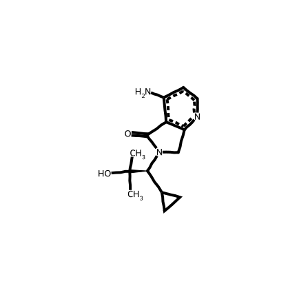 CC(C)(O)[C@H](C1CC1)N1Cc2nccc(N)c2C1=O